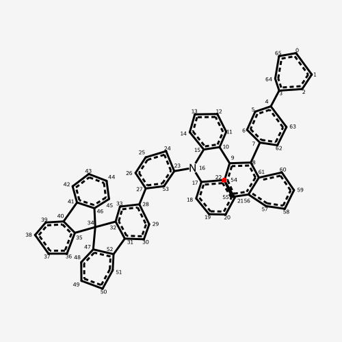 c1ccc(-c2ccc(-c3c(-c4ccccc4N(c4ccccc4)c4cccc(-c5ccc6c(c5)C5(c7ccccc7-c7ccccc75)c5ccccc5-6)c4)ccc4ccccc34)cc2)cc1